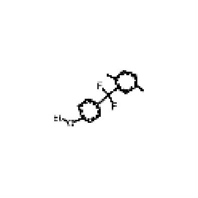 CCOc1ccc(C(F)(F)c2cc(C)ccc2C)cc1